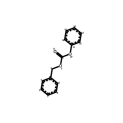 O=C(OCc1cc[c]cc1)Oc1ccccc1